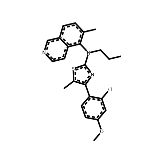 CCCN(c1nc(-c2ccc(OC)cc2Cl)c(C)s1)c1c(C)ccc2cnccc12